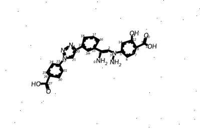 N/C(=C\N(N)c1ccc(C(=O)O)c(O)c1)c1cccc(-c2cn(-c3ccc(C(=O)O)cc3)nn2)c1